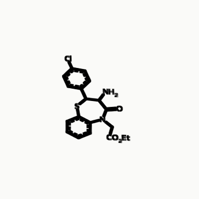 CCOC(=O)CN1C(=O)C(N)C(c2ccc(Cl)cc2)Sc2ccccc21